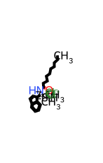 CCCCCCCCCC(=O)[NH][Zr+2]([CH]1C=Cc2ccccc21)[SiH](C)C.[Cl-].[Cl-]